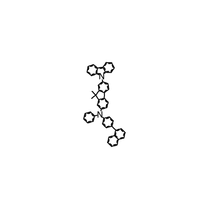 CC1(C)c2cc(N(c3ccccc3)c3ccc(-c4cccc5ccccc45)cc3)ccc2-c2ccc(-n3c4ccccc4c4ccccc43)cc21